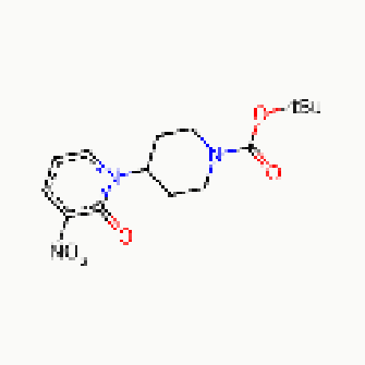 CC(C)(C)OC(=O)N1CCC(n2cccc([N+](=O)[O-])c2=O)CC1